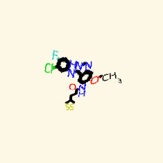 CCOc1cc2ncnc(Nc3ccc(F)c(Cl)c3)c2cc1NC(=O)CCC1CSSC1